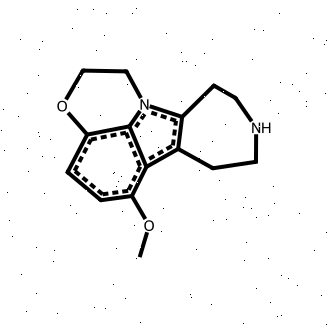 COc1ccc2c3c1c1c(n3CCO2)CCNCC1